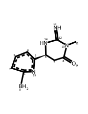 Bc1cccc([C@@H]2CC(=O)N(C)C(=N)N2)n1